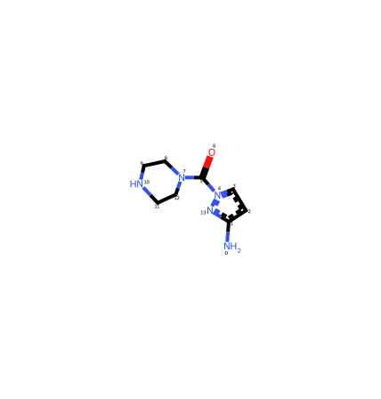 Nc1ccn(C(=O)N2CCNCC2)n1